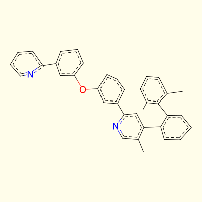 Cc1cnc(-c2cccc(Oc3cccc(-c4ccccn4)c3)c2)cc1-c1ccccc1-c1c(C)cccc1C